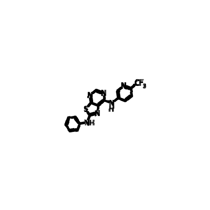 FC(F)(F)c1ccc(Nc2ncnc3sc(Nc4ccccc4)nc23)cn1